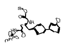 CCCS(=O)(=O)NC(=O)C[C@@H](Cc1ccc(-c2cccc(Cl)c2)cc1)NC(=O)OC(C)(C)C